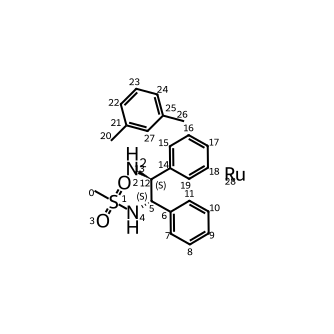 CS(=O)(=O)N[C@@H](c1ccccc1)[C@@H](N)c1ccccc1.Cc1cccc(C)c1.[Ru]